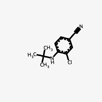 CC(C)(C)Nc1ccc(C#N)cc1Cl